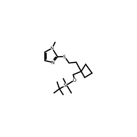 Cn1ccnc1SCCC1(CO[Si](C)(C)C(C)(C)C)CCC1